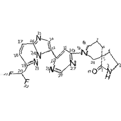 O=C1NCCC12CCCN(c1cc(-c3cnc4ccc(C(F)F)nn34)ncn1)C2